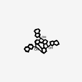 OC1(c2ccc3ccccc3c2)c2ccc3c4c2c2c1ccc1c2c2c(ccc(c42)C3(O)c2ccc3ccccc3c2)C1(O)c1ccc2ccccc2c1